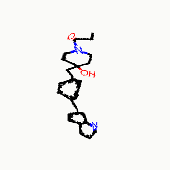 CCC(=O)N1CCC(O)(Cc2ccc(-c3ccc4cccnc4c3)cc2)CC1